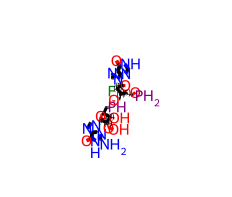 Nc1nc2c(ncn2[C@@H]2OC(CPOC[C@H]3[C@H](F)[C@H](n4cnc5c(=O)[nH]cnc54)O[C@@H]3COP)[C@@H](O)[C@H]2OO)c(=O)[nH]1